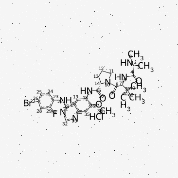 CN[C@@H](C)C(=O)N[C@H](C(=O)N1CCC[C@H]1C(=O)Nc1cc2c(Nc3ccc(Br)cc3F)ncnc2cc1OC)C(C)(C)C.Cl